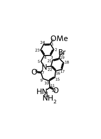 COc1ccc(CN2C(=O)CC(C(=O)NN)=Cc3ccc(Br)cc32)cc1